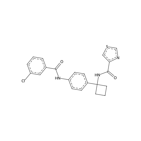 O=C(Nc1ccc(C2(NC(=O)c3cscn3)CCC2)cc1)c1cccc(Cl)c1